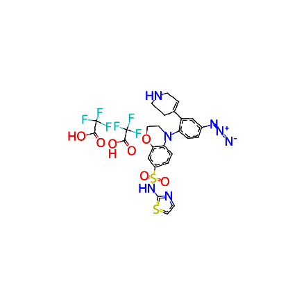 O=C(O)C(F)(F)F.O=C(O)C(F)(F)F.[N-]=[N+]=Nc1ccc(N2CCOc3cc(S(=O)(=O)Nc4nccs4)ccc32)c(C2=CCNCC2)c1